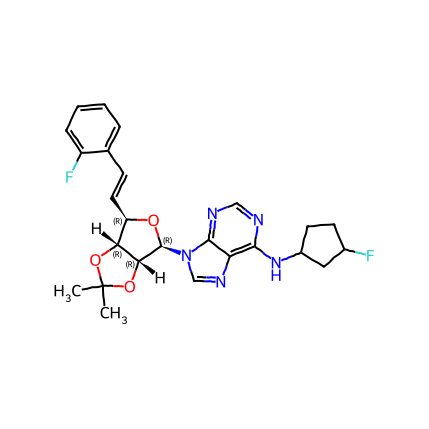 CC1(C)O[C@@H]2[C@H](O1)[C@@H](C=Cc1ccccc1F)O[C@H]2n1cnc2c(NC3CCC(F)C3)ncnc21